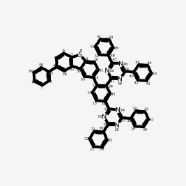 c1ccc(-c2ccc3sc4ccc(-c5ccc(-c6nc(-c7ccccc7)nc(-c7ccccc7)n6)cc5-c5nc(-c6ccccc6)nc(-c6ccccc6)n5)cc4c3c2)cc1